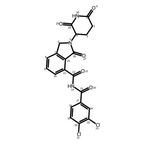 O=C1CCC(N2Cc3cccc(C(=O)NC(=O)c4ccc(Cl)c(Cl)c4)c3C2=O)C(=O)N1